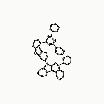 c1ccc(-c2nc(-c3ccccc3)nc(-c3cccc4oc5cc(-n6c7ccccc7c7c8ccccc8c(-c8ccccc8)cc76)ccc5c34)n2)cc1